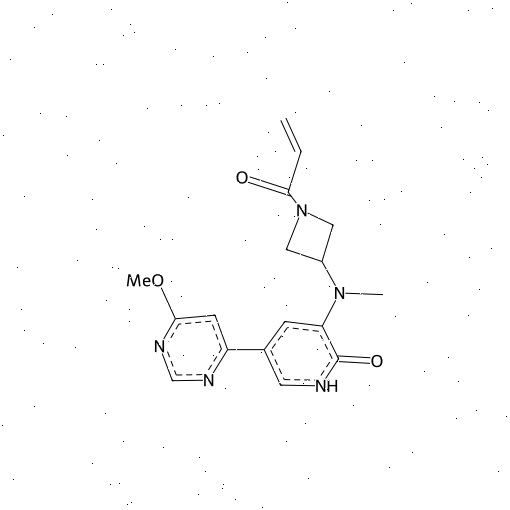 C=CC(=O)N1CC(N(C)c2cc(-c3cc(OC)ncn3)c[nH]c2=O)C1